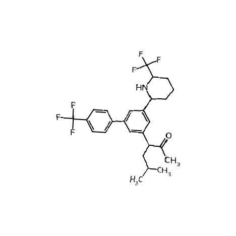 CC(=O)C(CC(C)C)c1cc(-c2ccc(C(F)(F)F)cc2)cc(C2CCCC(C(F)(F)F)N2)c1